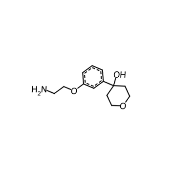 NCCOc1cccc(C2(O)CCOCC2)c1